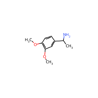 COc1ccc(C(C)N)cc1OC